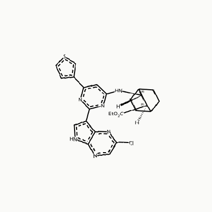 CCOC(=O)[C@@H]1C2CCC(CC2)[C@H]1Nc1cc(-c2ccsc2)nc(-c2c[nH]c3ncc(Cl)nc23)n1